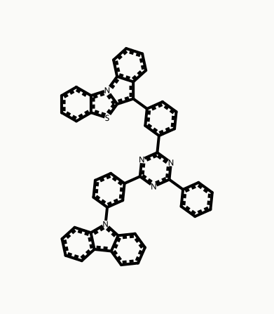 c1ccc(-c2nc(-c3cccc(-c4c5ccccc5n5c4sc4ccccc45)c3)nc(-c3cccc(-n4c5ccccc5c5ccccc54)c3)n2)cc1